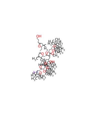 C=C1C[C@H](CCCO)OC1CC[C@H]1C[C@@H](C)C(=C)C(C[C@@H]2OC(CC(CO[Si](C)(C)C(C)(C)C)O[Si](C)(C)C(C)(C)C)[C@H](OC)[C@H]2CC(CO)CC2CC[C@@H]3O[C@@H](C(/C=C/I)O[Si](C)(C)C(C)(C)C)C(O[Si](C)(C)C(C)(C)C)C(O[Si](C)(C)C(C)(C)C)[C@H]3O2)O1